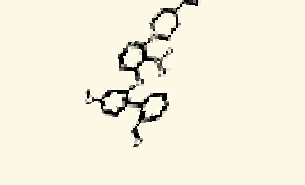 CCCC1CCN(c2ncnc(Oc3cc(OC)ccc3-c3ccccc3C=O)c2[N+](=O)[O-])CC1